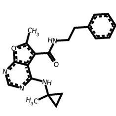 Cc1oc2ncnc(NC3(C)CC3)c2c1C(=O)NCCc1ccccc1